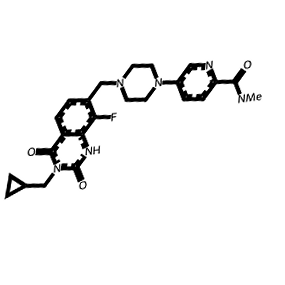 CNC(=O)c1ccc(N2CCN(Cc3ccc4c(=O)n(CC5CC5)c(=O)[nH]c4c3F)CC2)cn1